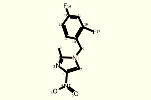 Cc1nc([N+](=O)[O-])cn1Cc1ccc(F)cc1F